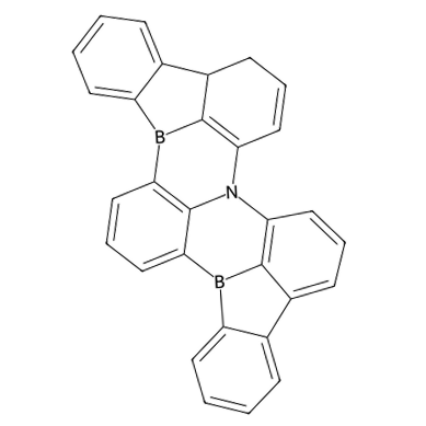 C1=CC2=C3B(c4ccccc4C3C1)c1cccc3c1N2c1cccc2c1B3c1ccccc1-2